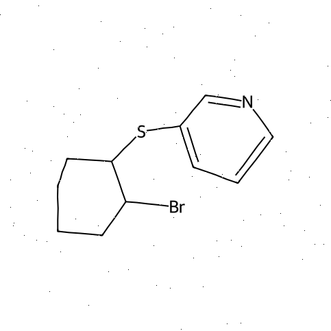 BrC1CCCCC1Sc1cccnc1